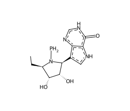 CC[C@@H]1[C@@H](O)[C@@H](O)[C@H](c2c[nH]c3c(=O)[nH]cnc23)N1P